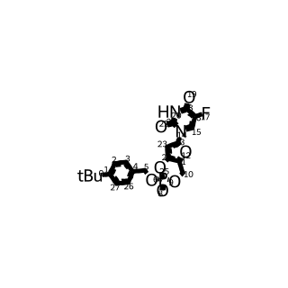 CC(C)(C)c1ccc(COP2(=O)OCc3oc(-n4cc(F)c(=O)[nH]c4=O)cc3O2)cc1